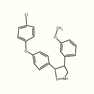 COc1cccc(C2CNSN2c2ccc(Oc3ccc(Cl)cc3)cc2)c1